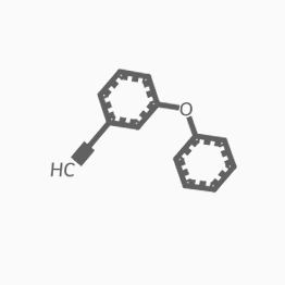 C#Cc1cccc(Oc2ccccc2)c1